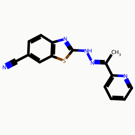 C/C(=N\Nc1nc2ccc(C#N)cc2s1)c1ccccn1